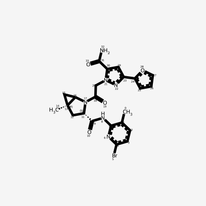 Cc1ccc(Br)nc1NC(=O)[C@@H]1C[C@@]2(C)CC2N1C(=O)Cn1nc(-c2ccco2)cc1C(N)=O